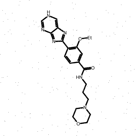 CCOc1cc(C(=O)NCCCN2CCOCC2)ccc1-c1nc2c[nH]cnc-2n1